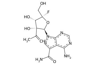 C=C(C)[C@]1(O)[C@H](n2cc(C(N)=O)c3c(N)ncnc32)O[C@](F)(CO)[C@H]1O